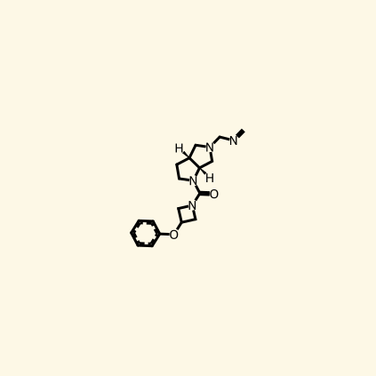 C=NCN1C[C@H]2CCN(C(=O)N3CC(Oc4ccccc4)C3)[C@H]2C1